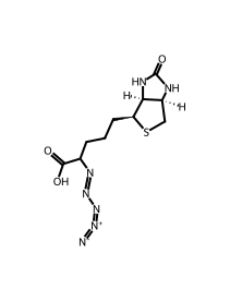 [N-]=[N+]=NN=NC(CCC[C@@H]1SC[C@@H]2NC(=O)N[C@@H]21)C(=O)O